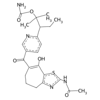 CCC(c1ccc(C(=O)C2=C(O)c3sc(NC(C)=O)nc3CCC2)cn1)C(C)(C)OC(N)=O